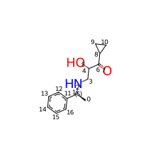 C[C@H](NCC(O)C(=O)C1CC1)c1ccccc1